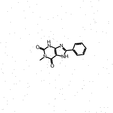 Cn1c(=O)[nH]c2nc(-c3ccccc3)[nH]c2c1=O